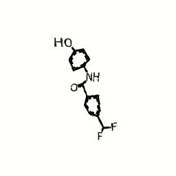 O=C(Nc1ccc(O)cc1)c1ccc(C(F)F)cc1